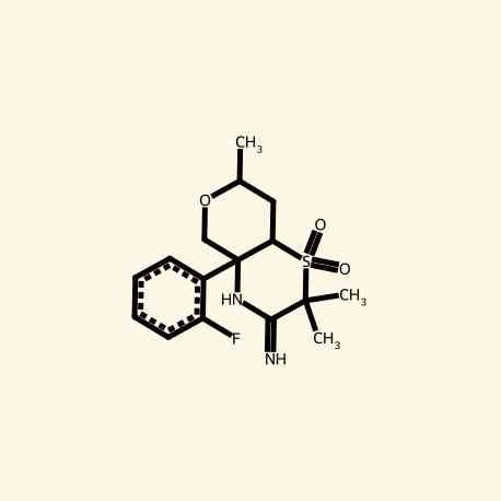 CC1CC2C(c3ccccc3F)(CO1)NC(=N)C(C)(C)S2(=O)=O